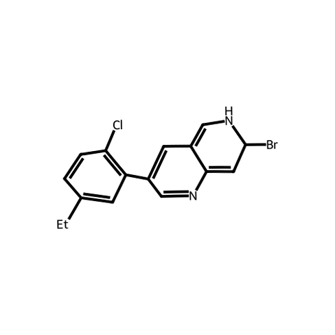 CCc1ccc(Cl)c(-c2cnc3c(c2)=CNC(Br)C=3)c1